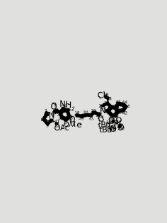 COc1cc(C(=O)N2CCC[C@H]2COC(C)=O)c(N)cc1OCCCCCC(=O)N1C[C@@H](CCl)c2c1cc(OP(=O)(OC(C)(C)C)OC(C)(C)C)c1ccccc21